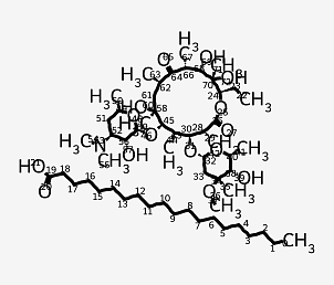 CCCCCCCCCCCCCCCCCCCC(=O)O.CC[C@H]1OC(=O)[C@H](C)[C@@H](O[C@H]2C[C@@](C)(OC)[C@@H](O)[C@H](C)O2)[C@@H](C)[C@@H](O[C@@H]2O[C@H](C)C[C@H](N(C)C)[C@H]2O)[C@](C)(O)C[C@@H](C)C(=O)[C@H](C)[C@H](O)[C@]1(C)O